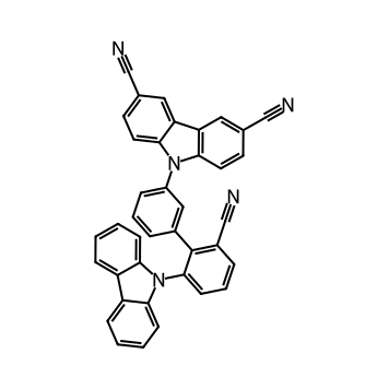 N#Cc1ccc2c(c1)c1cc(C#N)ccc1n2-c1cccc(-c2c(C#N)cccc2-n2c3ccccc3c3ccccc32)c1